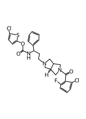 O=C(NC(CCN1CC2CN(C(=O)c3c(F)cccc3Cl)C[C@@H]2C1)c1ccccc1)Oc1ccc(Cl)s1